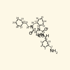 NCc1cccc(CNC(=O)N2c3ccccc3CN(CCc3ccccc3)C(=O)C2CC(=O)O)c1